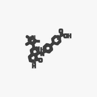 Cc1nn(C)c(C)c1-c1cc2cc[nH]c(=O)c2c(Nc2ccc(C3CCN(C(=O)O)CC3)cc2)n1